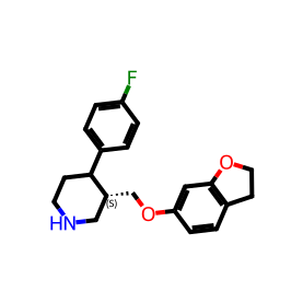 Fc1ccc(C2CCNC[C@H]2COc2ccc3c(c2)OCC3)cc1